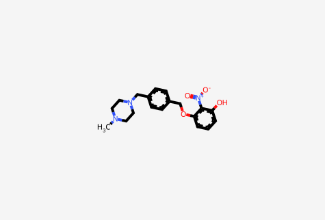 CN1CCN(Cc2ccc(COc3cccc(O)c3[N+](=O)[O-])cc2)CC1